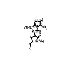 CNC(=O)C(CCC=S)N(C)C(=S)c1c(C=O)ccc(F)c1N